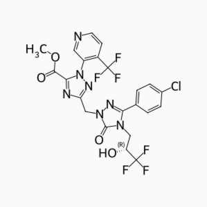 COC(=O)c1nc(Cn2nc(-c3ccc(Cl)cc3)n(C[C@@H](O)C(F)(F)F)c2=O)nn1-c1cnccc1C(F)(F)F